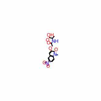 CC(NC(=O)COc1cc2cc([N+](=O)[O-])ccc2n(C)c1=O)C(=O)O